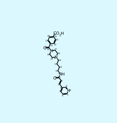 O=C(C=Cc1cccnc1)NCCCCN1CCN(C(=O)c2ccc(C(=O)O)cc2)CC1